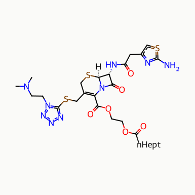 CCCCCCCC(=O)OCCOC(=O)C1=C(CSc2nnnn2CCN(C)C)CS[C@H]2[C@H](NC(=O)Cc3csc(N)n3)C(=O)N12